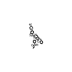 C=CC(=O)Nc1cccc(-n2c(=O)c(Cc3ccccc3)cc3cnc(Nc4ccc(N5CCC(N(C)C)CC5)cc4C)nc32)c1